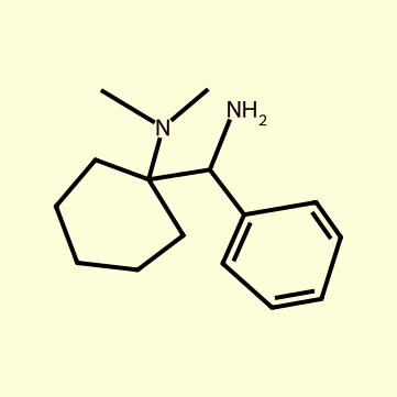 CN(C)C1(C(N)c2ccccc2)CCCCC1